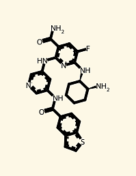 NC(=O)c1cc(F)c(N[C@@H]2CCCC[C@@H]2N)nc1Nc1cncc(NC(=O)c2ccc3sccc3c2)c1